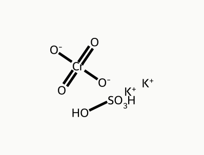 O=S(=O)(O)O.[K+].[K+].[O]=[Cr](=[O])([O-])[O-]